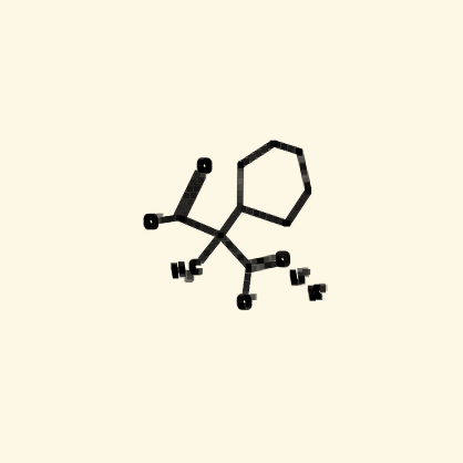 CC(C(=O)[O-])(C(=O)[O-])C1CCCCC1.[K+].[Li+]